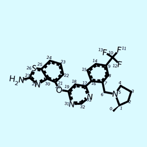 C[C@@H]1CCCN1Cc1cc(C(F)(F)F)ccc1-c1cc(Oc2cccc3sc(N)nc23)ncn1